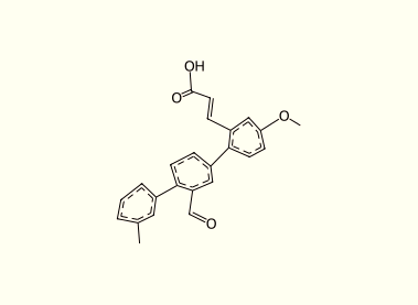 COc1ccc(-c2ccc(-c3cccc(C)c3)c(C=O)c2)c(/C=C/C(=O)O)c1